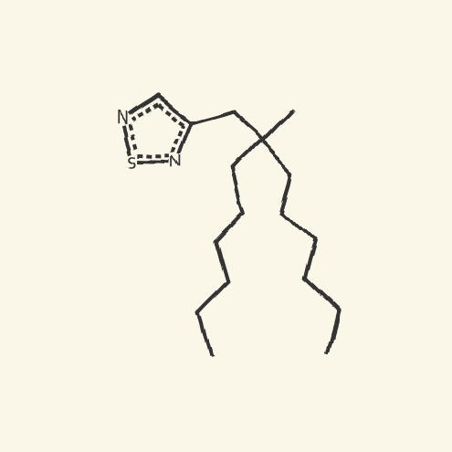 CCCCCCC(C)(CCCCCC)Cc1cnsn1